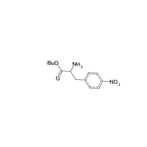 CC(C)COC(=O)C(N)Cc1ccc([N+](=O)[O-])cc1